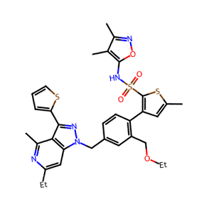 CCOCc1cc(Cn2nc(-c3cccs3)c3c(C)nc(CC)cc32)ccc1-c1cc(C)sc1S(=O)(=O)Nc1onc(C)c1C